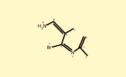 C=C(C)/N=C(Br)\C(C)=C/N